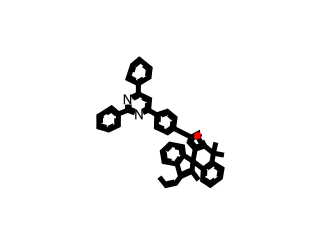 C/C=C\C1=C(C)C2(c3ccccc31)c1ccccc1C(C)(C)c1ccc(-c3ccc(-c4cc(-c5ccccc5)nc(-c5ccccc5)n4)cc3)cc12